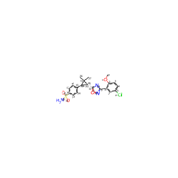 COc1ccc(Cl)cc1-c1noc([C@@H]2[C@@H](c3ccc(S(N)(=O)=O)cc3)C2(C)C)n1